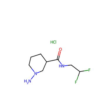 Cl.NN1CCCC(C(=O)NCC(F)F)C1